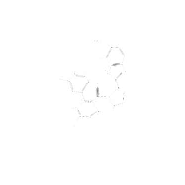 COc1ccc2nc(C3CCCN3C(=O)c3cnc(C)nc3-c3cccc(Cl)c3)[nH]c2c1